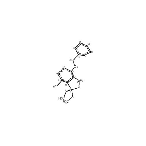 CCC1(CC)CNc2c(OCc3ccccc3)ccc(F)c21